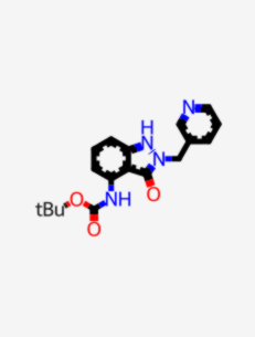 CC(C)(C)OC(=O)Nc1cccc2[nH]n(Cc3cccnc3)c(=O)c12